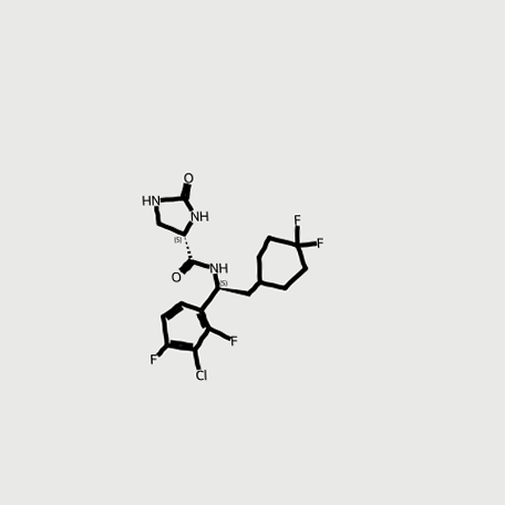 O=C1NC[C@@H](C(=O)N[C@@H](CC2CCC(F)(F)CC2)c2ccc(F)c(Cl)c2F)N1